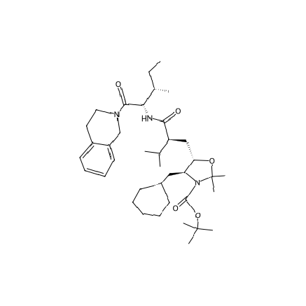 CC[C@H](C)[C@H](NC(=O)[C@@H](C[C@@H]1OC(C)(C)N(C(=O)OC(C)(C)C)[C@H]1CC1CCCCC1)C(C)C)C(=O)N1CCc2ccccc2C1